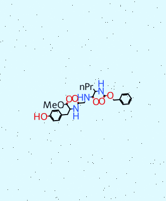 CCCC(NC(=O)OCc1ccccc1)C(=O)NCC(=O)NC(Cc1ccc(O)cc1)C(=O)OC